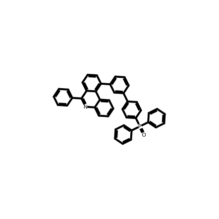 O=P(c1ccccc1)(c1ccccc1)c1ccc(-c2cccc(-c3cccc4c(-c5ccccc5)nc5ccccc5c34)c2)cc1